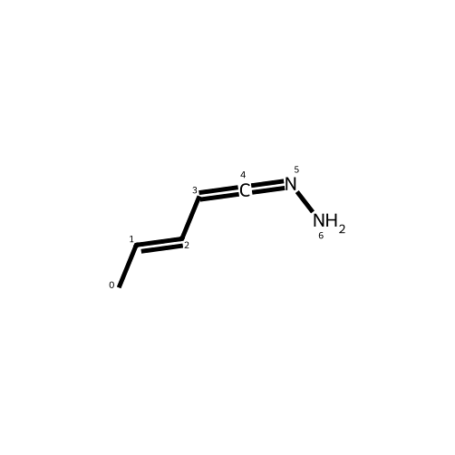 C/C=C/C=C=NN